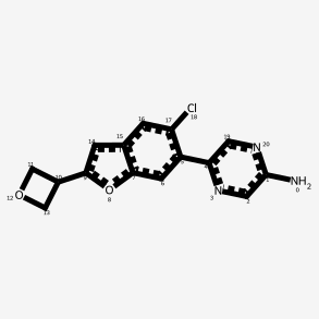 Nc1cnc(-c2cc3oc(C4COC4)cc3cc2Cl)cn1